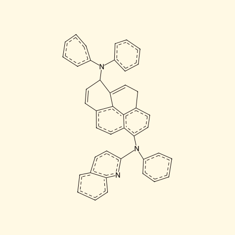 C1=CC(N(c2ccccc2)c2ccccc2)C2=CCc3ccc(N(c4ccccc4)c4ccc5ccccc5n4)c4ccc1c2c34